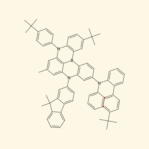 Cc1cc2c3c(c1)N(c1ccc4c(c1)C(C)(C)c1ccccc1-4)c1cc(N(c4ccccc4)c4ccccc4-c4ccc(C(C)(C)C)cc4)ccc1B3c1cc(C(C)(C)C)ccc1N2c1ccc(C(C)(C)C)cc1